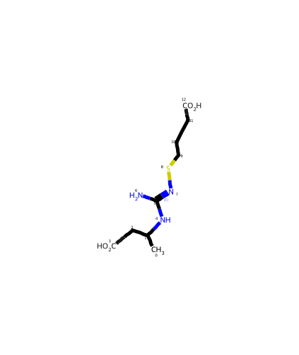 CC(CC(=O)O)N/C(N)=N/SCCCC(=O)O